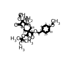 COc1ccc(COC(=O)C2(C(=O)OC(C)(C)C)CS[C@H]3N(C2)C(=O)C3(N)OC)cc1